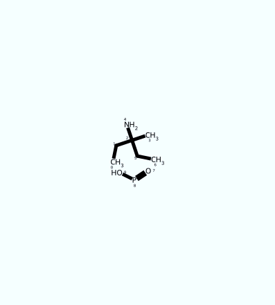 CCC(C)(N)CC.O=PO